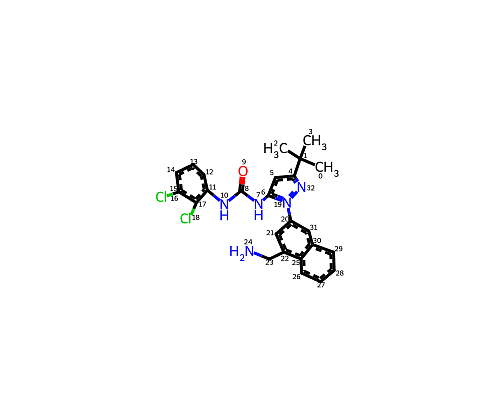 CC(C)(C)c1cc(NC(=O)Nc2cccc(Cl)c2Cl)n(-c2cc(CN)c3ccccc3c2)n1